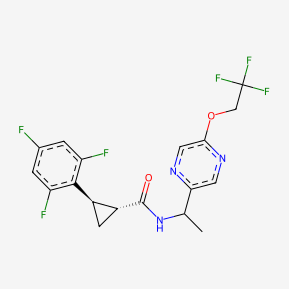 CC(NC(=O)[C@@H]1C[C@H]1c1c(F)cc(F)cc1F)c1cnc(OCC(F)(F)F)cn1